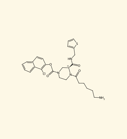 NCCCCCC(=O)N1CCN(C(=O)Oc2ccc3ccccc3c2Cl)C[C@H]1C(=O)NCc1cccs1